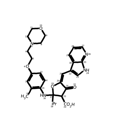 Cc1cc(OCCN2CCOCC2)ccc1NC1(C(C)C)OC(=Cc2c[nH]c3ncccc23)C(=O)C1C(=O)O